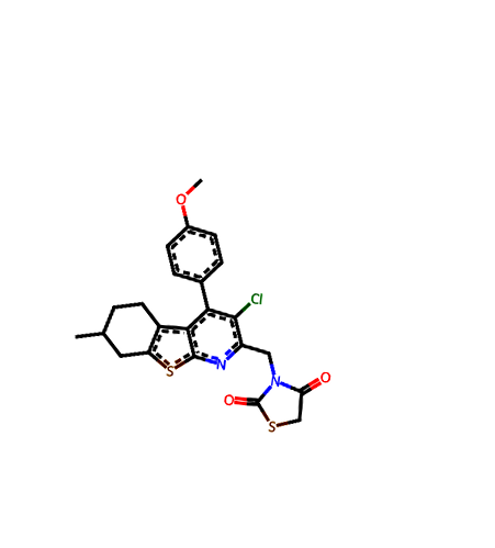 COc1ccc(-c2c(Cl)c(CN3C(=O)CSC3=O)nc3sc4c(c23)CCC(C)C4)cc1